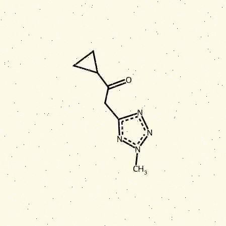 Cn1nnc(CC(=O)C2CC2)n1